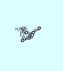 CN(C)CC(=O)Nc1ccc(O[C@H]2C[C@]3(C)[C@@H](OCc4ccccc4)CC[C@H]3[C@@H]3CCc4cc(OCc5ccccc5)ccc4[C@H]32)cc1C(F)(F)F